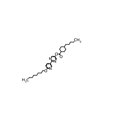 CCCCCCCCOc1ccc(-c2ncc(OC(=O)C3CCC(CCCCC)CC3)cn2)cn1